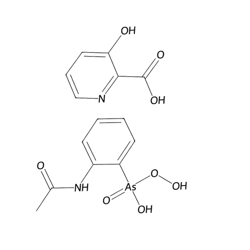 CC(=O)Nc1ccccc1[As](=O)(O)OO.O=C(O)c1ncccc1O